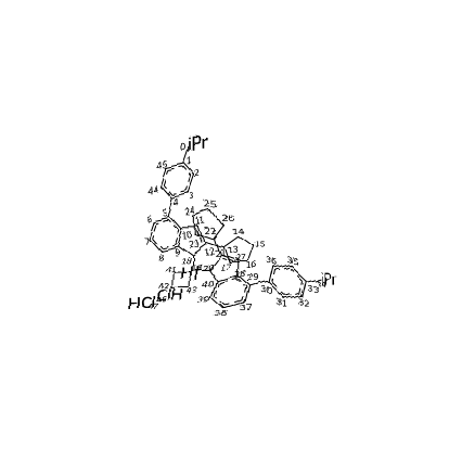 CC(C)c1ccc(-c2cccc3c2C=C(C2CCCC2)[CH]3[Hf]2([CH]3C(C4CCCC4)=Cc4c(-c5ccc(C(C)C)cc5)cccc43)[CH2]C[CH2]2)cc1.Cl.Cl